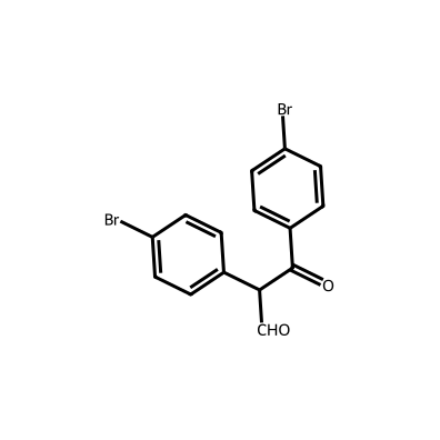 O=CC(C(=O)c1ccc(Br)cc1)c1ccc(Br)cc1